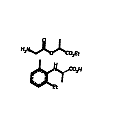 CCOC(=O)C(C)OC(=O)CN.CCc1cccc(C)c1N[C@@H](C)C(=O)O